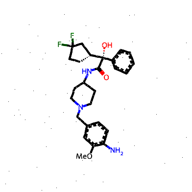 COc1cc(CN2CCC(NC(=O)[C@](O)(c3ccccc3)[C@@H]3CCC(F)(F)C3)CC2)ccc1N